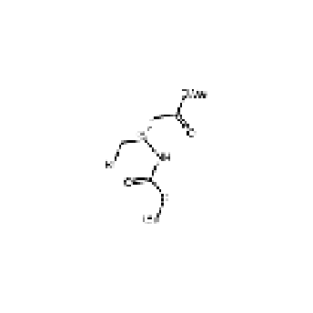 COC(=O)C[C@@H](CBr)NC(=O)OC(C)(C)C